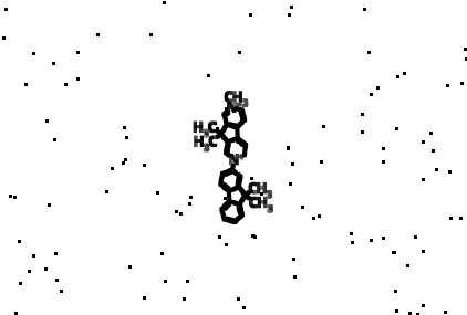 C[n+]1ccc2c(c1)C(C)(C)c1c[n+](-c3ccc4c(c3)C(C)(C)c3ccccc3-4)ccc1-2